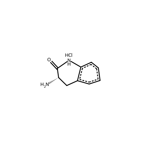 Cl.N[C@H]1Cc2ccccc2NC1=O